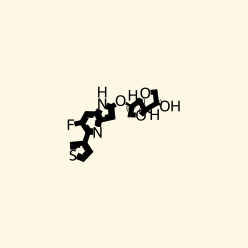 O[C@@H]1CO[C@H]2[C@@H]1OC[C@H]2Oc1cc2nc(-c3ccsc3)c(F)cc2[nH]1